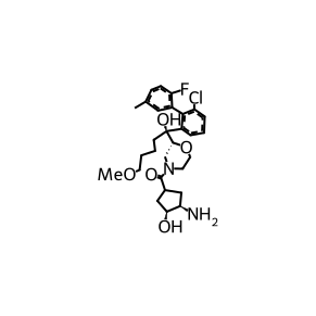 COCCCC[C@](O)(c1cccc(Cl)c1-c1cc(C)ccc1F)[C@H]1CN(C(=O)C2C[C@@H](N)[C@@H](O)C2)CCO1